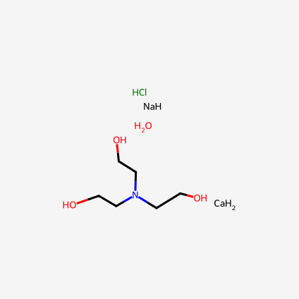 Cl.O.OCCN(CCO)CCO.[CaH2].[NaH]